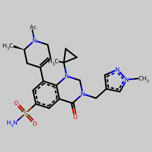 CC(=O)N1CC=C(c2cc(S(N)(=O)=O)cc3c2N(C2(C)CC2)CN(Cc2cnn(C)c2)C3=O)C[C@H]1C